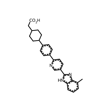 Cc1cccc2[nH]c(-c3ccc(-c4ccc(C5CCC(CC(=O)O)CC5)cc4)nc3)nc12